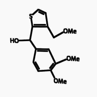 COCc1ccsc1C(O)c1ccc(OC)c(OC)c1